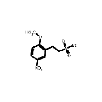 CCS(=O)(=O)CCc1cc([N+](=O)[O-])ccc1OC(=O)O